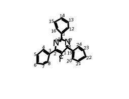 Fc1c(-c2ccccc2)nc(-c2ccccc2)nc1-c1ccccc1